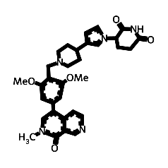 COc1cc(-c2cn(C)c(=O)c3cnccc23)cc(OC)c1CN1CCC(c2ccn(C3CCC(=O)NC3=O)c2)CC1